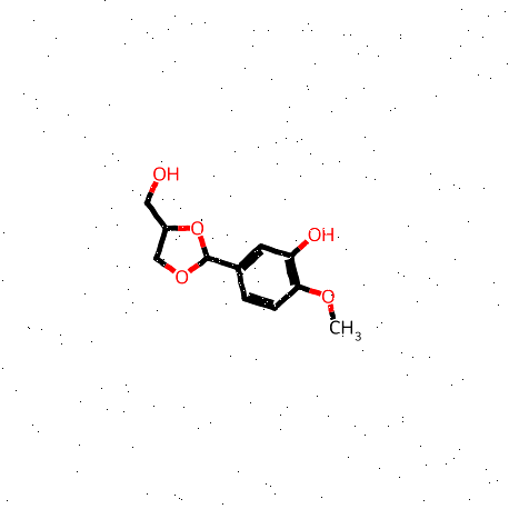 COc1ccc(C2OCC(CO)O2)cc1O